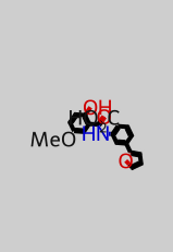 COc1ccc(O)c(C(=O)Nc2cc(-c3ccco3)ccc2C(=O)O)c1